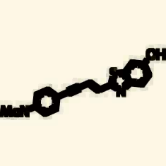 CNc1ccc(C#CC=Cc2nc3ccc(O)cc3s2)cc1